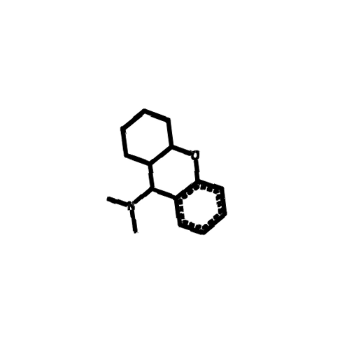 CN(C)C1c2ccccc2OC2CCCCC21